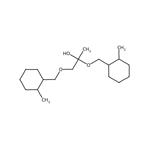 CC1CCCCC1COCC(C)(O)OCC1CCCCC1C